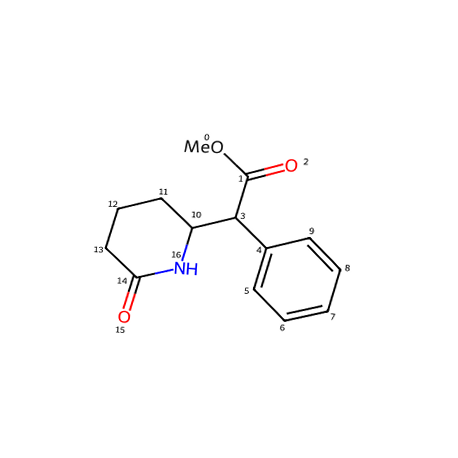 COC(=O)C(c1ccccc1)C1CCCC(=O)N1